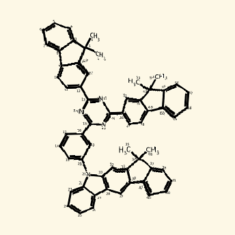 CC1(C)c2ccccc2-c2ccc(-c3nc(-c4cccc(-n5c6ccccc6c6cc7c(cc65)C(C)(C)c5ccccc5-7)c4)nc(-c4ccc5c(c4)C(C)(C)c4ccccc4-5)n3)cc21